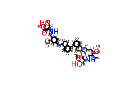 C/C=C(CNC(CO)C(=O)OC)\C(=C/C/C=C1\CCc2c1cccc2-c1cccc2c1CC/C2=C\c1ccc(CNC(CO)C(=O)OC)c(OC)c1)OC